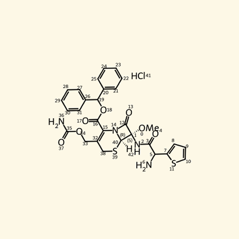 CO[C@@]1(NC(=O)C(N)c2cccs2)C(=O)N2C(C(=O)OC(c3ccccc3)c3ccccc3)=C(COC(N)=O)CS[C@@H]21.Cl